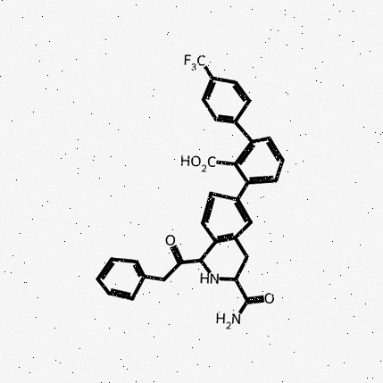 NC(=O)C1Cc2cc(-c3cccc(-c4ccc(C(F)(F)F)cc4)c3C(=O)O)ccc2C(C(=O)Cc2ccccc2)N1